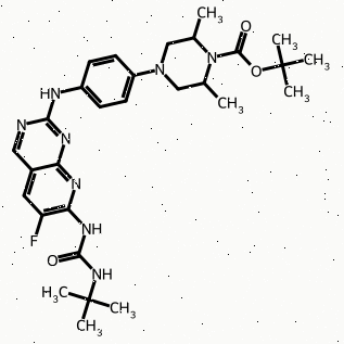 CC1CN(c2ccc(Nc3ncc4cc(F)c(NC(=O)NC(C)(C)C)nc4n3)cc2)CC(C)N1C(=O)OC(C)(C)C